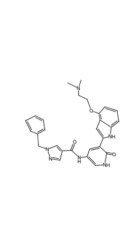 CN(C)CCOc1cccc2[nH]c(-c3cc(NC(=O)c4cnn(Cc5ccccc5)c4)c[nH]c3=O)cc12